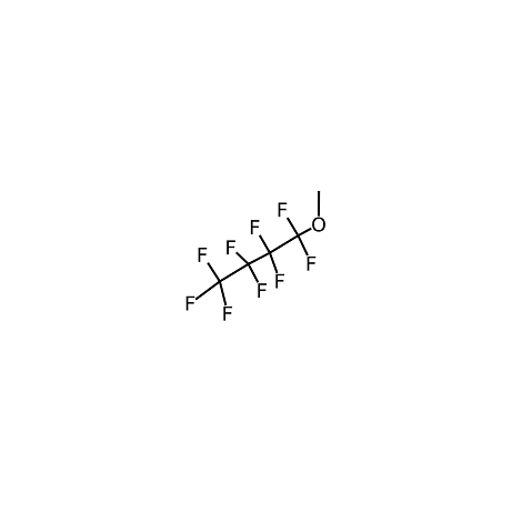 COC(F)(F)C(F)(F)C(F)(F)C(F)(F)F